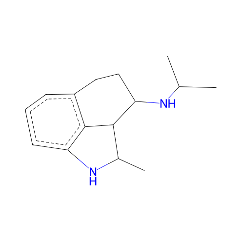 CC(C)NC1CCc2cccc3c2C1C(C)N3